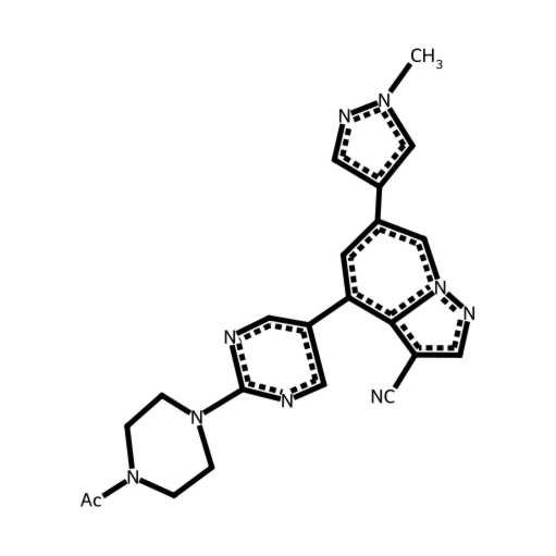 CC(=O)N1CCN(c2ncc(-c3cc(-c4cnn(C)c4)cn4ncc(C#N)c34)cn2)CC1